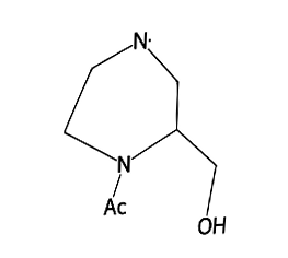 CC(=O)N1CC[N]CC1CO